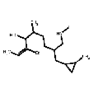 C/C=C(/CC)C(C)C(C)CCC(CNI)CC1C[C@@H]1C